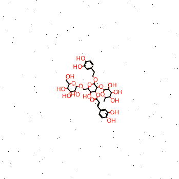 CC1OC(OC2C(OCCc3ccc(O)c(O)c3)OC(COC3OC(CO)C(O)C(O)C3O)C(O)C2OC(=O)/C=C/c2ccc(O)c(O)c2)C(O)C(O)C1O